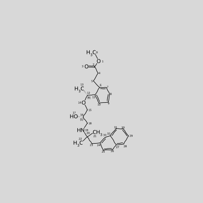 COC(=O)CCc1ccccc1[C@@H](C)OC[C@@H](O)CNC(C)(C)Cc1ccc2ccccc2c1